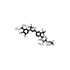 C=C(C)c1cc(C(/C=C(\F)c2ccc(C(=O)N[C@H](C)C(=O)NCC(F)(F)F)c(C(F)(F)F)c2)C(F)(F)F)cc(Cl)c1Cl